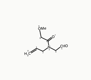 C=CCN(CC=O)C(=O)COC